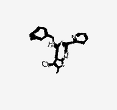 Cc1sc2nc(-c3ccccn3)nc(NCc3ccccc3)c2c1Cl